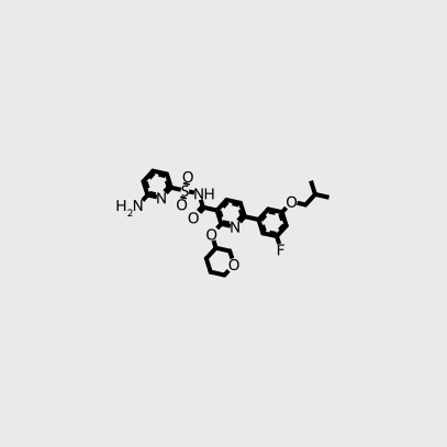 CC(C)COc1cc(F)cc(-c2ccc(C(=O)NS(=O)(=O)c3cccc(N)n3)c(OC3CCCOC3)n2)c1